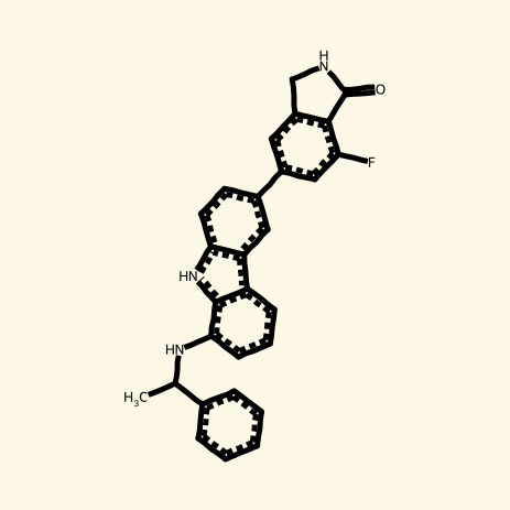 CC(Nc1cccc2c1[nH]c1ccc(-c3cc(F)c4c(c3)CNC4=O)cc12)c1ccccc1